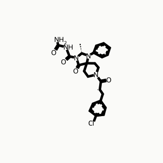 C[C@H]1N(C(=O)NC(N)=O)C(=O)C2(CCN(C(=O)[CH]Cc3ccc(Cl)cc3)CC2)N1c1ccccc1